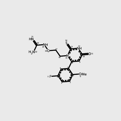 COc1ccc(F)cc1-c1cc(=O)[nH]c(=S)n1CCONC(=N)N